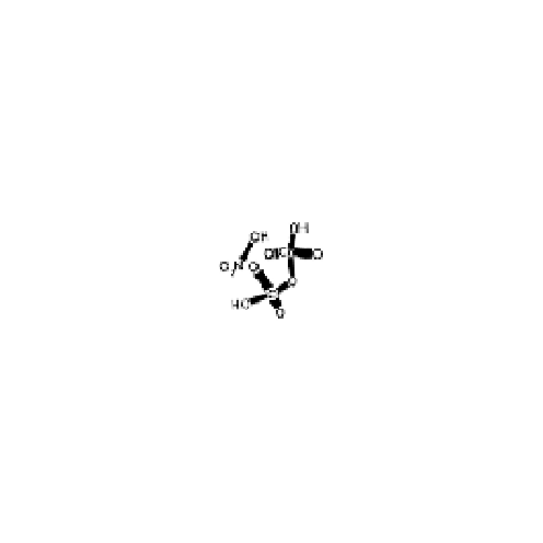 O=[N+]([O-])O.[O]=[Cr](=[O])([OH])[O][Cr](=[O])(=[O])[OH]